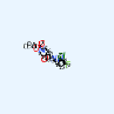 CC(C)(C)OC(=O)N1CCC2(CC1)CC(NCc1ccc(F)cc1Cl)CO2